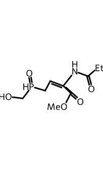 CCC(=O)NC(=CC[PH](=O)CO)C(=O)OC